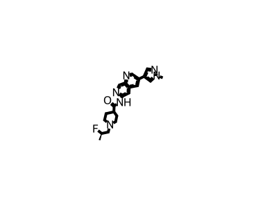 C[C@@H](F)CN1CCC(C(=O)Nc2cc3cc(-c4cnn(C)c4)cnc3cn2)CC1